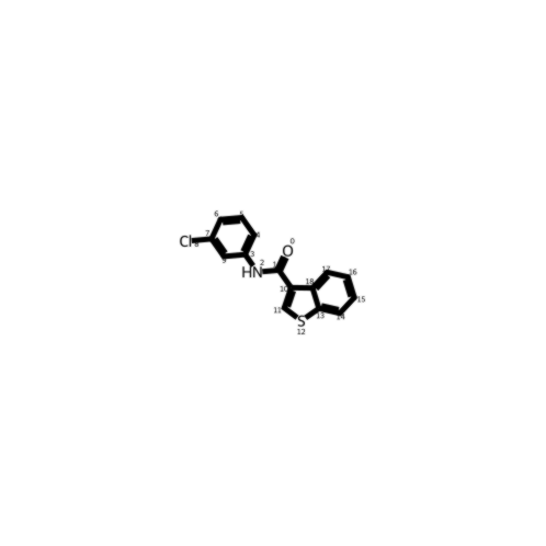 O=C(Nc1cccc(Cl)c1)c1csc2ccccc12